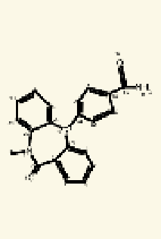 CN1C(=O)c2ccccc2[S+](c2ccc(C(N)=O)cc2)c2ccccc21